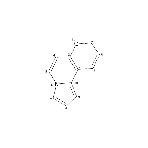 C1=Cc2c(ccn3cccc23)OC1